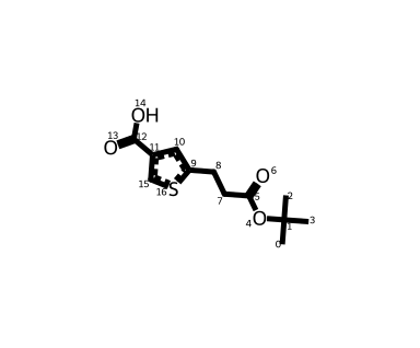 CC(C)(C)OC(=O)CCc1cc(C(=O)O)cs1